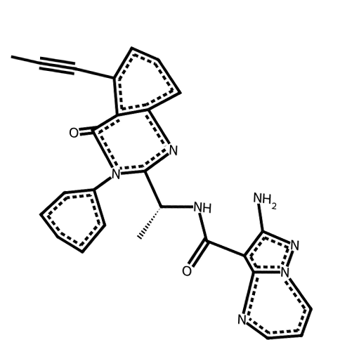 CC#Cc1cccc2nc([C@@H](C)NC(=O)c3c(N)nn4cccnc34)n(-c3ccccc3)c(=O)c12